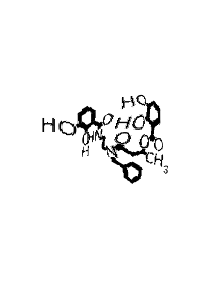 CC(CC(=O)N(CCNC(=O)c1cccc(O)c1O)Cc1ccccc1)OC(=O)c1cccc(O)c1O